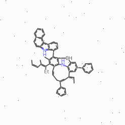 C/C=C\C(C)=C(/CC)c1c(C)c(-c2cccc3c2[nH]c2ccc4ccccc4c23)c2c3c1C=CC/C(c1ccccc1)=C\C(=C/C)c1cc(-c4ccccc4)cc(c1N3)B2